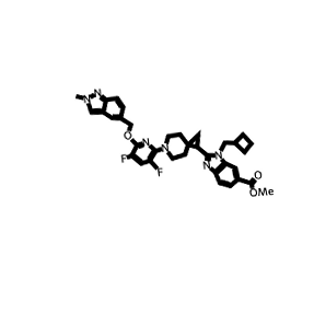 COC(=O)c1ccc2nc(C3CC34CCN(c3nc(OCc5ccc6nn(C)cc6c5)c(F)cc3F)CC4)n(CC3CCC3)c2c1